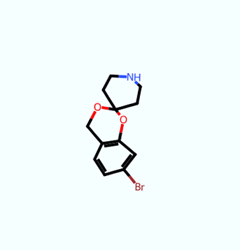 Brc1ccc2c(c1)OC1(CCNCC1)OC2